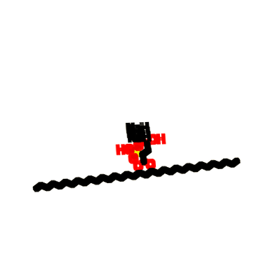 CCCCCCCCCCCCCCCCCC(CCCCCCCCCCCCCCCC)OC(=O)C(CC(=O)O)S(=O)(=O)O.[NaH].[NaH].[NaH]